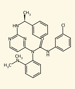 C[C@H](Nc1nccc(N(C(=O)Nc2cccc(Cl)c2)c2ccccc2N(C)C)n1)c1ccccc1